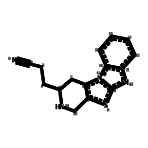 N#CCCC1Cc2c(sc3nc4ccccc4n23)CN1